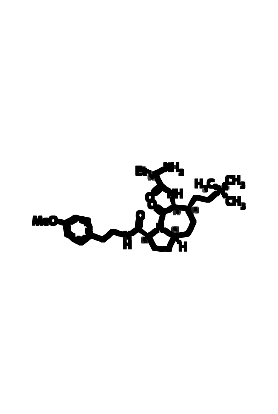 CC[C@H](N)C(=O)N[C@@H]1C(=O)N2[C@@H](CC[C@@H]1CC[N+](C)(C)C)CC[C@H]2C(=O)NCCc1ccc(OC)cc1